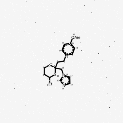 CCC1CCSC(CCc2ccc(OC)cc2)(Cn2ccnc2)S1